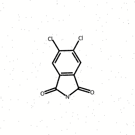 O=C1[N]C(=O)c2cc(Cl)c(Cl)cc21